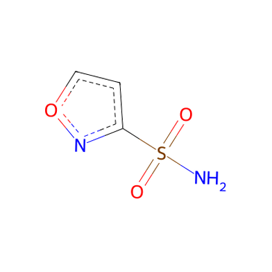 NS(=O)(=O)c1ccon1